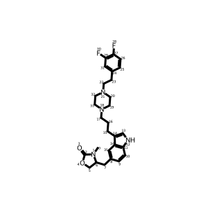 CN1C(=O)OCC1Cc1ccc2[nH]cc(CCCN3CCN(CCc4ccc(F)c(F)c4)CC3)c2c1